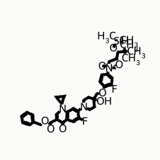 C[SiH](C)OC(C1C[N+]([O-])(c2ccc(OCC3(O)CCN(c4cc5c(cc4F)c(=O)c(C(=O)OCc4ccccc4)cn5C4CC4)CC3)c(F)c2)CO1)C(C)(C)C